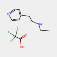 CCNCCc1ccncc1.O=C(O)C(F)(F)F